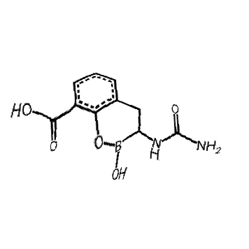 NC(=O)NC1Cc2cccc(C(=O)O)c2OB1O